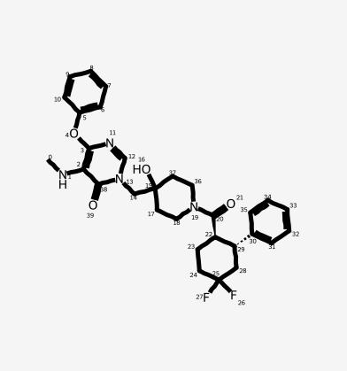 CNc1c(Oc2ccccc2)ncn(CC2(O)CCN(C(=O)[C@@H]3CCC(F)(F)C[C@H]3c3ccccc3)CC2)c1=O